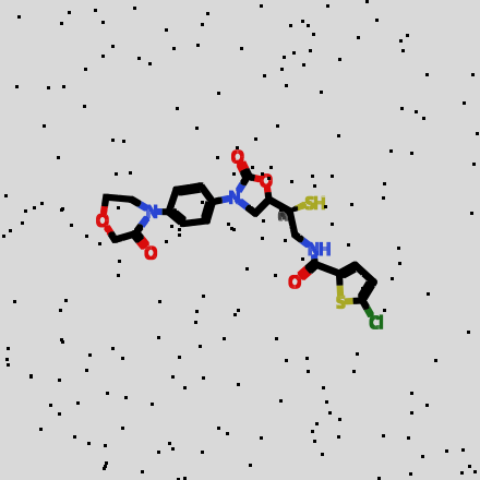 O=C(NC[C@H](S)C1CN(c2ccc(N3CCOCC3=O)cc2)C(=O)O1)c1ccc(Cl)s1